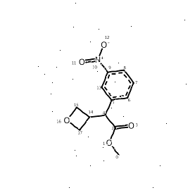 COC(=O)C(c1cccc([N+](=O)[O-])c1)C1COC1